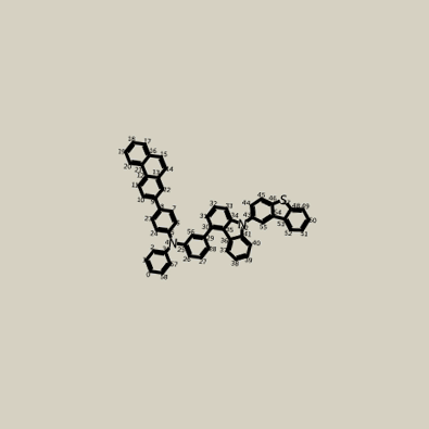 c1ccc(N(c2ccc(-c3ccc4c(ccc5ccccc54)c3)cc2)c2cccc(-c3cccc4c3c3ccccc3n4-c3ccc4sc5ccccc5c4c3)c2)cc1